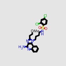 COCCc1nc2c(N)nc3ccccc3c2n1CCCCNS(=O)(=O)c1ccc(Cl)cc1Cl